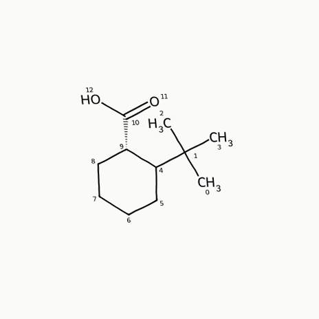 CC(C)(C)C1CCCC[C@@H]1C(=O)O